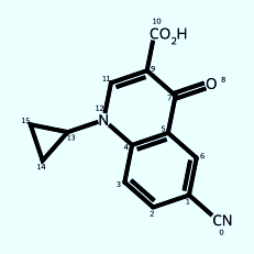 N#Cc1ccc2c(c1)c(=O)c(C(=O)O)cn2C1CC1